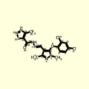 Cc1nn(C)c(Oc2ccc(Cl)cc2Cl)c1/C=N/NC(=O)c1snnc1C(F)(F)F